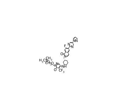 C[Si](C)(C)CCOCn1ncc(N[C@H]2CCC[C@@H](Cn3ccc4cc(-c5ncc(-n6cccn6)cn5)c(F)cc4c3=O)C2)c(C(F)(F)F)c1=O